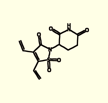 C=CC1=C(C=C)S(=O)(=O)N(C2CCC(=O)NC2=O)C1=O